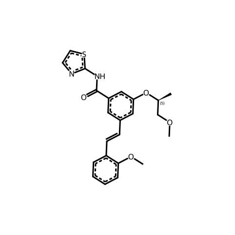 COC[C@H](C)Oc1cc(C=Cc2ccccc2OC)cc(C(=O)Nc2nccs2)c1